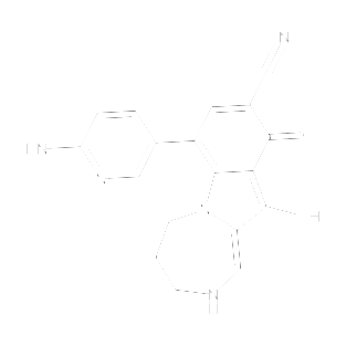 Cc1c2c(n3c1=CNCCC3)=C(c1ccc(N)nc1)C=C(C#N)C2=O